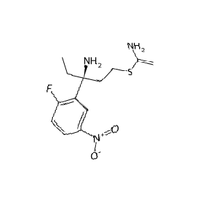 C=C(N)SCC[C@@](N)(CC)c1cc([N+](=O)[O-])ccc1F